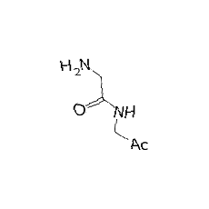 CC(=O)CNC(=O)CN